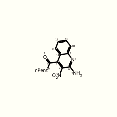 CCCCCC(=O)c1c([N+](=O)[O-])c(N)nc2ccccc12